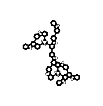 c1ccc(-c2nc(-c3cc(-c4ccc5c(c4)oc4ccc(-c6ccc7oc8cccc(-c9nc(-c%10cccc%11oc%12ccccc%12c%10%11)nc(-c%10cccc%11oc%12ccc(-c%13ccc%14oc%15ccccc%15c%14c%13)cc%12c%10%11)n9)c8c7c6)cc45)cc4oc5cc(-c6ccc7oc8ccccc8c7c6)ccc5c34)nc(-c3cccc4oc5ccc(-c6ccc7oc8ccccc8c7c6)cc5c34)n2)cc1